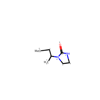 COCC(C)N1CCNC1=O